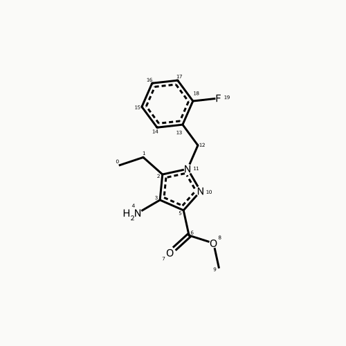 CCc1c(N)c(C(=O)OC)nn1Cc1ccccc1F